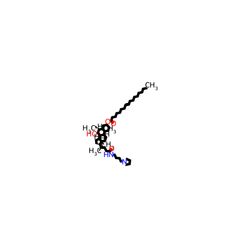 CCCCCCCCC/C=C/CCCCCCC(=O)O[C@@H]1CC[C@@]2(C)[C@@H](C1)[C@@H](CC)[C@@H](O)[C@@H]1[C@@H]2CC[C@]2(C)[C@@H]([C@H](C)CCC(=O)NCCCCN3CCCC3)CC[C@@H]12